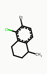 CCc1ccc2c(c1Cl)CCCC2C